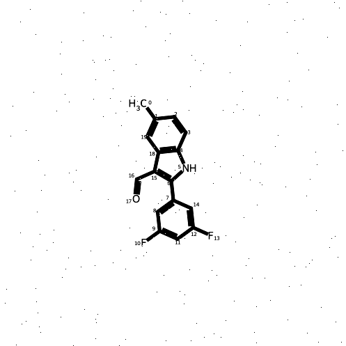 Cc1ccc2[nH]c(-c3cc(F)cc(F)c3)c(C=O)c2c1